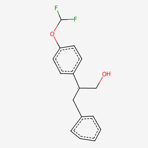 OC[C](Cc1ccccc1)c1ccc(OC(F)F)cc1